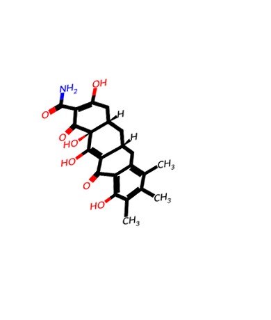 Cc1c(C)c(O)c2c(c1C)C[C@H]1C[C@H]3CC(O)=C(C(N)=O)C(=O)[C@@]3(O)C(O)=C1C2=O